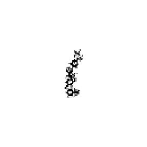 CC[N+]([O-])(C(=O)c1cn(C2CCN(C(=O)OC(C)(C)C)CC2)nn1)N1CCC(Oc2cccc(C(F)(F)F)c2)CC1